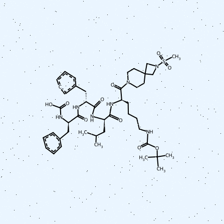 CC(C)C[C@@H](NC(=O)[C@@H](Cc1ccccc1)NC(=O)[C@@H](Cc1ccccc1)NC(=O)O)C(=O)N[C@H](CCCCNC(=O)OC(C)(C)C)C(=O)N1CCC2(CC1)CN(S(C)(=O)=O)C2